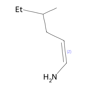 CCC(C)C/C=C\N